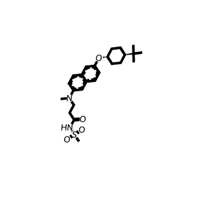 CN(CCC(=O)NS(C)(=O)=O)c1ccc2cc(O[C@H]3CC[C@H](C(C)(C)C)CC3)ccc2c1